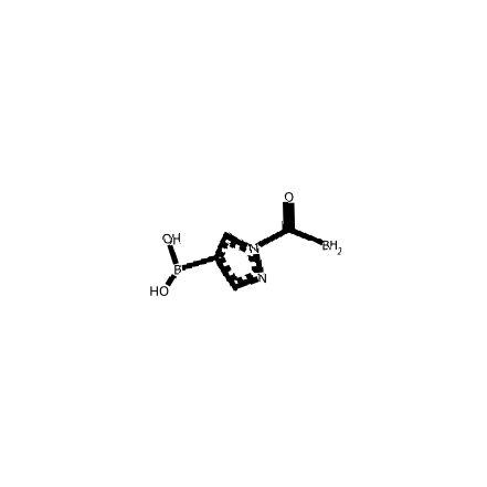 BC(=O)n1cc(B(O)O)cn1